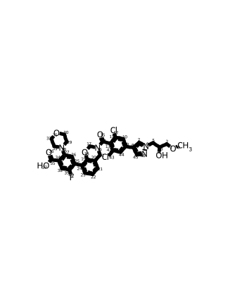 COCC(O)Cn1cc(-c2cc(Cl)c(C(=O)N3COc4c(cccc4-c4cc(N5CCOCC5)c(C(=O)O)cc4F)C3)c(Cl)c2)cn1